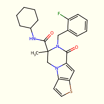 CC1(C(=O)NC2CCCCC2)Cn2c(cc3sccc32)C(=O)N1Cc1ccccc1F